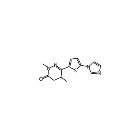 CC1CC(=O)N(C)N=C1c1ccc(-n2ccnc2)s1